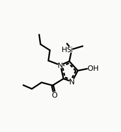 CCCCn1c(C(=O)CCC)nc(O)c1[SiH](C)C